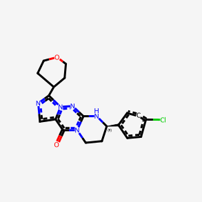 O=c1c2cnc(C3CCOCC3)n2nc2n1CC[C@H](c1ccc(Cl)cc1)N2